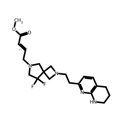 COC(=O)/C=C/CN1CC(F)(F)C2(C1)CN(CCc1ccc3c(n1)NCCC3)C2